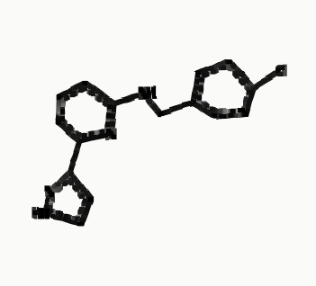 Clc1ccc(CNc2cccc(-c3cc[nH]n3)n2)cc1